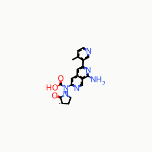 Cc1ccncc1-c1cc2cc(N(C(=O)O)N3CC[CH]C3=O)ncc2c(N)n1